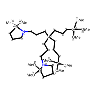 CO[Si](CCC[Si](CCCN1CCC[Si]1(OC)OC)(CCCN1CCC[Si]1(OC)OC)CCC[Si](OC)(OC)OC)(OC)OC